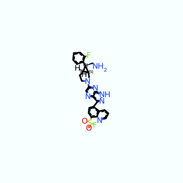 NC[C@]1(c2ccccc2F)[C@@H]2CCN(c3cnc4c(-c5ccc(S(=O)(=O)F)c6ncccc56)n[nH]c4n3)C[C@@H]21